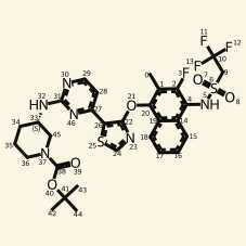 Cc1c(F)c(NS(=O)(=O)CC(F)(F)F)c2ccccc2c1Oc1ncsc1-c1ccnc(N[C@H]2CCCN(C(=O)OC(C)(C)C)C2)n1